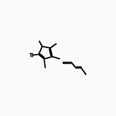 C=CC=CC.CC1=C(C)C(C)[C]([Ti])=C1C